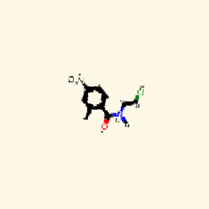 Cc1cc([N+](=O)[O-])ccc1C(=O)N(C)CCCl